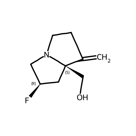 C=C1CCN2C[C@H](F)C[C@@]12CO